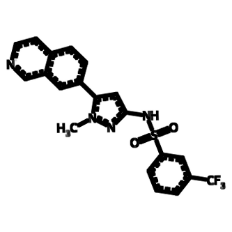 Cn1nc(NS(=O)(=O)c2cccc(C(F)(F)F)c2)cc1-c1ccc2ccncc2c1